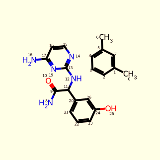 Cc1cccc(C)c1.NC(=O)C(Nc1nccc(N)n1)c1cccc(O)c1